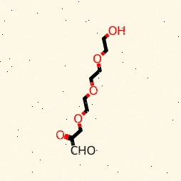 O=[C]C(=O)COCCOCCOCCO